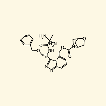 CC(N)(N)C(=O)N[C@H](COCc1ccccc1)c1nnc2cccc(COC(=O)N3CC4CC3CO4)n12